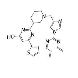 C=C/C=N\C(=N/C=C)n1cnc(CN2CCCC(c3nc(O)cc(-c4cccs4)n3)C2)c1